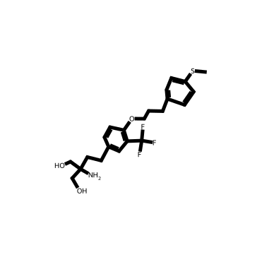 CSc1ccc(CCCOc2ccc(CCC(N)(CO)CO)cc2C(F)(F)F)cc1